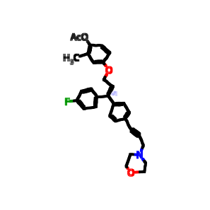 CC(=O)Oc1ccc(OC/C=C(\c2ccc(F)cc2)c2ccc(C#CCN3CCOCC3)cc2)cc1C